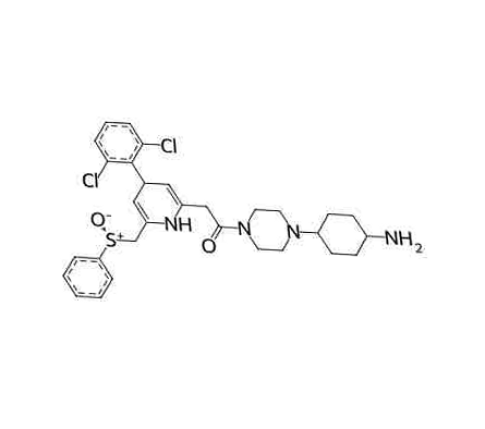 NC1CCC(N2CCN(C(=O)CC3=CC(c4c(Cl)cccc4Cl)C=C(C[S@+]([O-])c4ccccc4)N3)CC2)CC1